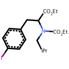 CCOC(=O)C(Cc1ccc(I)cc1)N(CC(C)C)C(=O)OCC